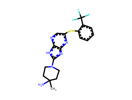 CC1(N)CCN(c2nc3nc(Sc4ccccc4C(F)(F)F)cnc3[nH]2)CC1